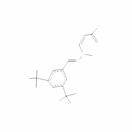 CN(/C=C\C(N)=O)/N=C/c1cc(C(F)(F)F)cc(C(F)(F)F)c1